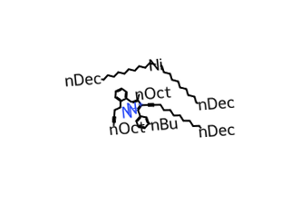 CCCCCCCCC#CCCc1ccccc1C1=C(CCCCCCCC)C(C#CCCCCCCCCCCCCCCCCCCC)=C(c2cccc(CCCC)c2)[N+]1=[N-].CCCCCCCCCCCCCCCCCCC[CH2][Ni][CH2]CCCCCCCCCCCCCCCCCCC